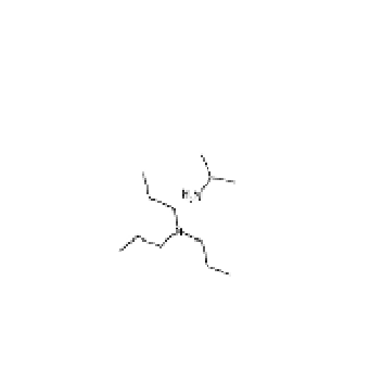 CC(C)N.CCCN(CCC)CCC